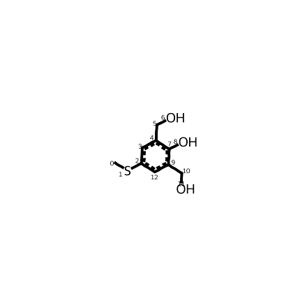 CSc1cc(CO)c(O)c(CO)c1